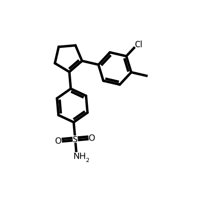 Cc1ccc(C2=C(c3ccc(S(N)(=O)=O)cc3)CCC2)cc1Cl